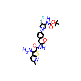 Cc1ccc2c(N)c(C(=O)N[C@H]3COc4cc(N5C[C@H](CF)[C@H](NC(=O)OC(C)(C)C)C5)ccc4C3)sc2n1